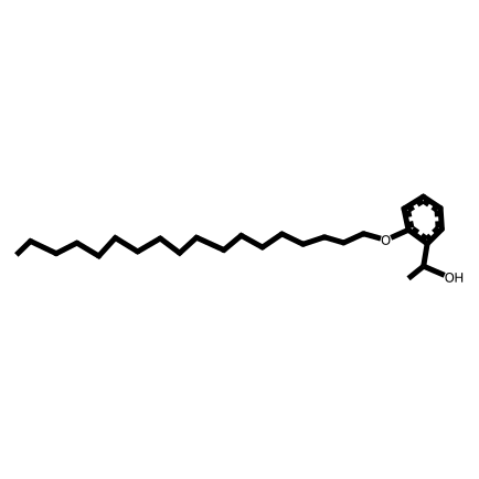 CCCCCCCCCCCCCCCCCCOc1ccccc1C(C)O